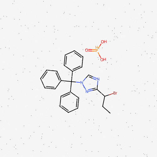 CCC(Br)c1ncn(C(c2ccccc2)(c2ccccc2)c2ccccc2)n1.O=[PH](O)O